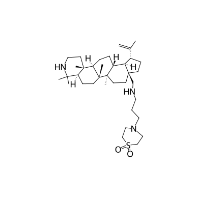 C=C(C)[C@@H]1CC[C@]2(CNCCCN3CCS(=O)(=O)CC3)CC[C@]3(C)[C@H](CC[C@@H]4[C@@]5(C)CCNC(C)(C)[C@@H]5CC[C@]43C)[C@@H]12